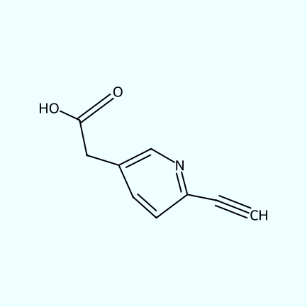 C#Cc1ccc(CC(=O)O)cn1